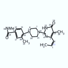 C/C=C\c1nc(N2CCN(c3ccc(C(=O)NC)cc3C)CC2)[nH]c(=O)c1C